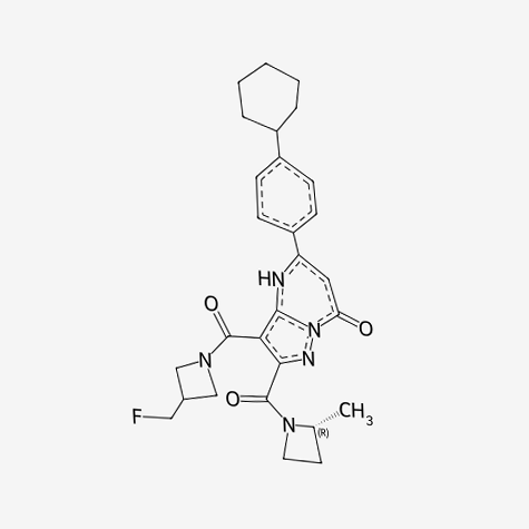 C[C@@H]1CCN1C(=O)c1nn2c(=O)cc(-c3ccc(C4CCCCC4)cc3)[nH]c2c1C(=O)N1CC(CF)C1